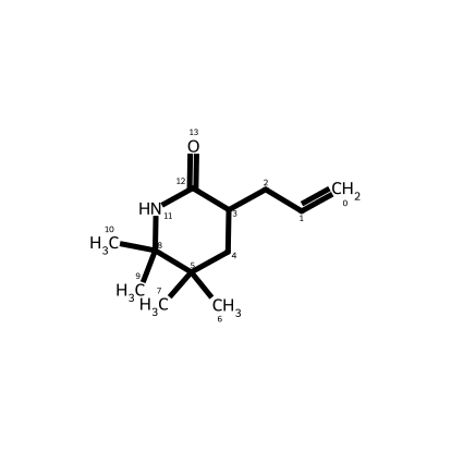 C=CCC1CC(C)(C)C(C)(C)NC1=O